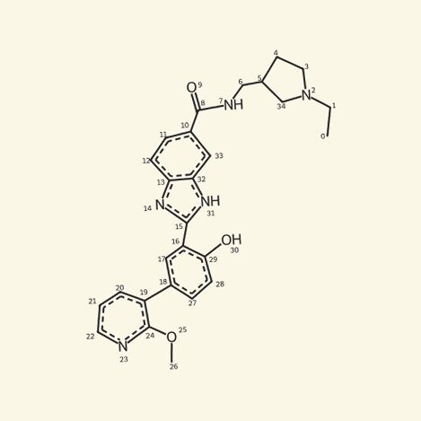 CCN1CCC(CNC(=O)c2ccc3nc(-c4cc(-c5cccnc5OC)ccc4O)[nH]c3c2)C1